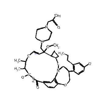 CCCc1cc(Cl)ccc1C1COc2ccc3cc2N(C1)CC1CCC1C(CN1CCN(CC(=O)O)CC1)(OC)/C=C/CC(C)C(C)[S+]([O-])NC3=O